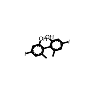 Cc1cc(I)cc(O)c1-c1c(C)cc(I)cc1O